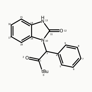 CC(C)(C)C(=O)C(c1ccccc1)n1c(=O)[nH]c2ccccc21